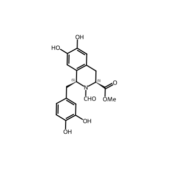 COC(=O)[C@@H]1Cc2cc(O)c(O)cc2[C@H](Cc2ccc(O)c(O)c2)N1C=O